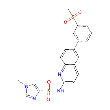 Cn1cnc(S(=O)(=O)Nc2ccc3cc(-c4cccc(S(C)(=O)=O)c4)ccc3n2)c1